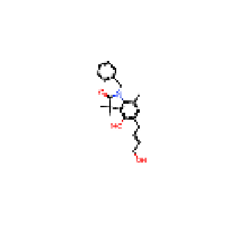 Cc1cc(CC=CCO)c(O)c2c1N(Cc1ccccc1)C(=O)C2(C)C